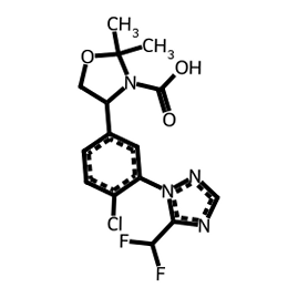 CC1(C)OCC(c2ccc(Cl)c(-n3ncnc3C(F)F)c2)N1C(=O)O